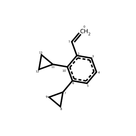 C=[C]c1cccc(C2CC2)c1C1CC1